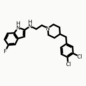 Fc1ccc2[nH]c(NCCN3CCC(Cc4ccc(Cl)c(Cl)c4)CC3)cc2c1